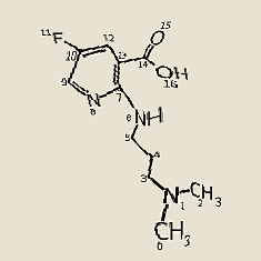 CN(C)CCCNc1ncc(F)cc1C(=O)O